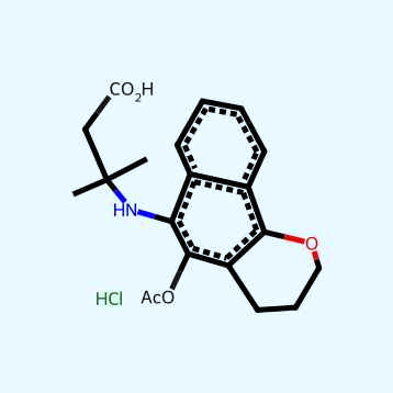 CC(=O)Oc1c2c(c3ccccc3c1NC(C)(C)CC(=O)O)OCCC2.Cl